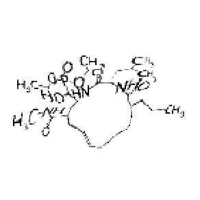 CCCC1CCCC/C=C/CC(C(=O)NC)C[C@@H](C(O)P(=O)(OCC)OCC)NC(=O)[C@H](CC(C)C)NC1=O